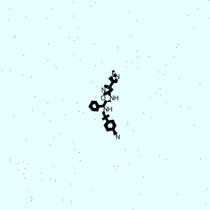 Cn1cc(-c2cnc3c(c2)NC[C@@H]([C@H](NCC(C)(C)c2ccc(C#N)cc2)c2ccccc2)O3)cn1